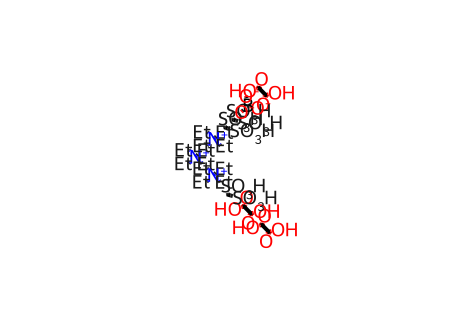 CC[N+](CC)(CC)CC.CC[N+](CC)(CC)CC.CC[N+](CC)(CC)CC.O=C(O)C(=O)O.O=C(O)C(=O)O.O=C(O)C(=O)O.O=S(=O)(O)CS(=O)(=O)O.O=S(=O)(O)CS(=O)(=O)O.O=S(=O)(O)CS(=O)(=O)O.[O-]B([O-])[O-]